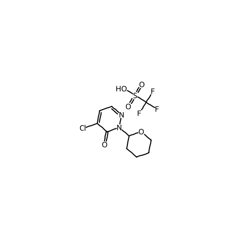 O=S(=O)(O)C(F)(F)F.O=c1c(Cl)ccnn1C1CCCCO1